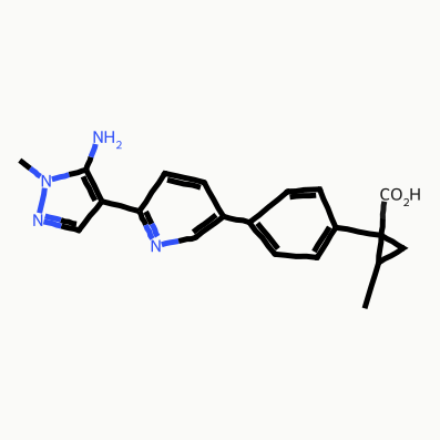 CC1CC1(C(=O)O)c1ccc(-c2ccc(-c3cnn(C)c3N)nc2)cc1